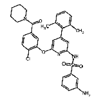 Cc1cccc(C)c1-c1cc(Oc2cc(C(=O)N3CCCCC3)ccc2Cl)nc(NS(=O)(=O)c2cccc(N)c2)n1